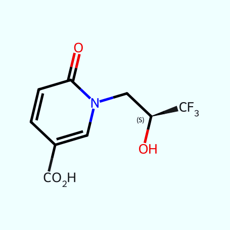 O=C(O)c1ccc(=O)n(C[C@H](O)C(F)(F)F)c1